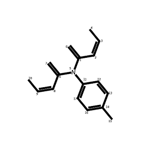 C=C(/C=C\C)N(C(=C)/C=C\C)c1ccc(C)cc1